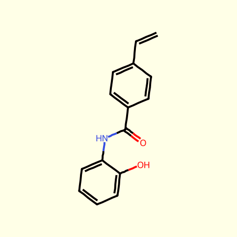 C=Cc1ccc(C(=O)Nc2ccccc2O)cc1